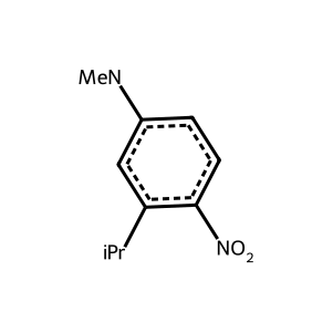 CNc1ccc([N+](=O)[O-])c(C(C)C)c1